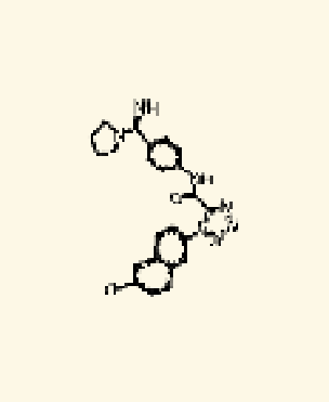 N=C(c1ccc(NC(=O)c2nnnn2-c2ccc3cc(Cl)ccc3c2)cc1)N1CCCC1